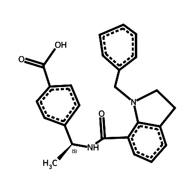 C[C@H](NC(=O)c1cccc2c1N(Cc1ccccc1)CC2)c1ccc(C(=O)O)cc1